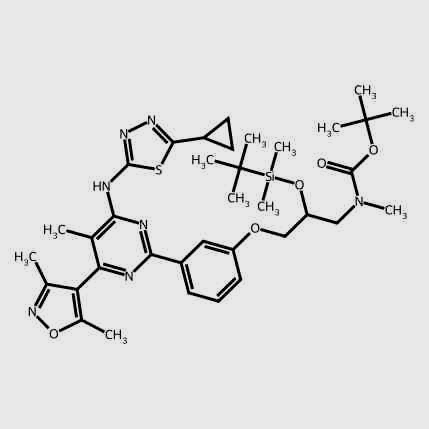 Cc1noc(C)c1-c1nc(-c2cccc(OCC(CN(C)C(=O)OC(C)(C)C)O[Si](C)(C)C(C)(C)C)c2)nc(Nc2nnc(C3CC3)s2)c1C